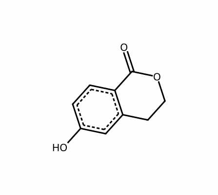 O=C1OCCc2cc(O)ccc21